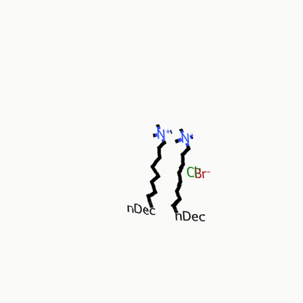 CCCCCCCCCCCCCCCCCC[N+](C)(C)C.CCCCCCCCCCCCCCCCCC[N+](C)(C)C.[Br-].[Cl-]